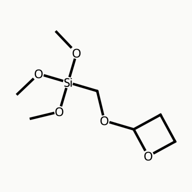 CO[Si](COC1CCO1)(OC)OC